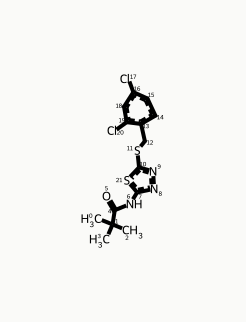 CC(C)(C)C(=O)Nc1nnc(SCc2ccc(Cl)cc2Cl)s1